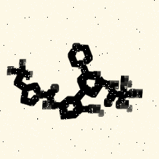 Cc1ccc(NC(=O)N2CCC(CC(F)(F)F)C2)cc1-c1cc(NC(=O)C(C)(C)O)nc(N2CCOCC2)c1